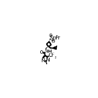 CCCS(=O)(=O)C[C@H]1C[C@@](CNC(=O)c2cnc(C)nc2C(F)(F)F)(CC2CC2)C1